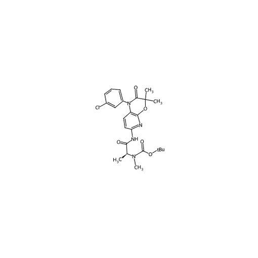 C[C@@H](C(=O)Nc1ccc2c(n1)OC(C)(C)C(=O)N2c1cccc(Cl)c1)N(C)C(=O)OC(C)(C)C